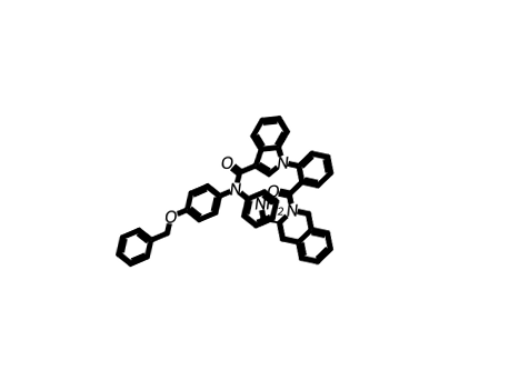 NC[C@@H]1Cc2ccccc2CN1C(=O)c1ccccc1-n1cc(C(=O)N(c2ccccc2)c2ccc(OCc3ccccc3)cc2)c2ccccc21